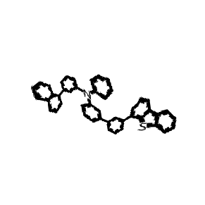 c1ccc(N(c2cccc(-c3cccc(-c4cccc5c4sc4ccccc45)c3)c2)c2cccc(-c3cccc4ccccc34)c2)cc1